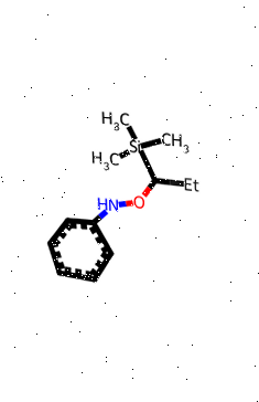 CCC(ONc1ccccc1)[Si](C)(C)C